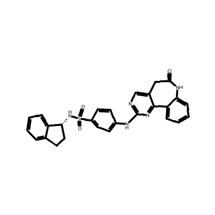 O=C1Cc2cnc(Nc3ccc(S(=O)(=O)N[C@@H]4CCc5ccccc54)cc3)nc2-c2ccccc2N1